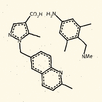 CNCc1c(C)cc(N)cc1C.Cc1ccc2cc(Cn3ncc(C(=O)O)c3C)ccc2n1